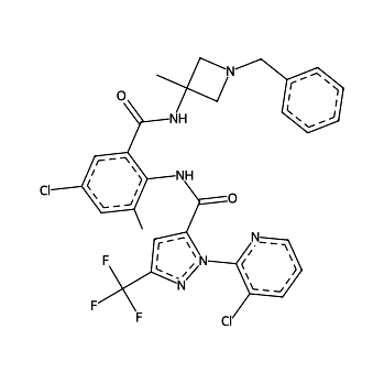 Cc1cc(Cl)cc(C(=O)NC2(C)CN(Cc3ccccc3)C2)c1NC(=O)c1cc(C(F)(F)F)nn1-c1ncccc1Cl